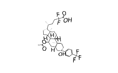 CC(=O)O[C@@H]1C[C@@H]2C[C@](O)(c3ccc(C(F)(F)F)cc3)CC[C@]2(C)[C@H]2CC[C@]3(C)[C@@H]([C@H](C)CCC(F)(F)C(=O)O)CC[C@H]3[C@H]12